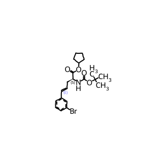 CC(C)(C)OC(=O)N[C@@H](C/C=C/c1cccc(Br)c1)C(=O)OC1CCCC1